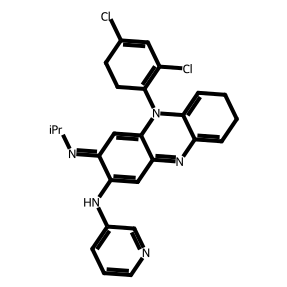 CC(C)/N=c1\cc2n(C3=C(Cl)C=C(Cl)CC3)c3c(nc-2cc1Nc1cccnc1)=CCCC=3